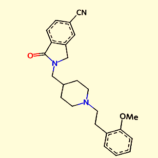 COc1ccccc1CCN1CCC(CN2Cc3cc(C#N)ccc3C2=O)CC1